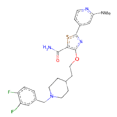 CNc1cc(-c2nc(OCCC3CCN(Cc4ccc(F)c(F)c4)CC3)c(C(N)=O)s2)ccn1